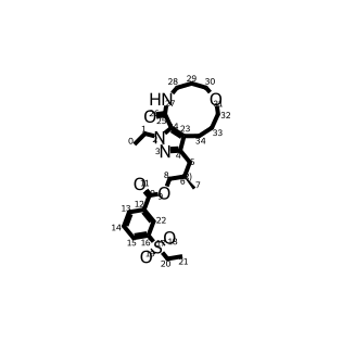 CCn1nc(C[C@@H](C)COC(=O)c2cccc(S(=O)(=O)CC)c2)c2c1C(=O)NCCCOCCC2